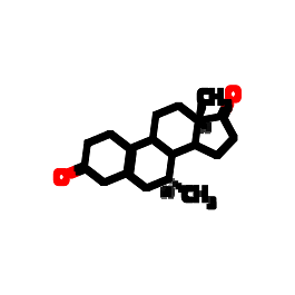 C[C@@H]1CC2=C(CCC(=O)C2)C2CC[C@]3(C)C(=O)CCC3C21